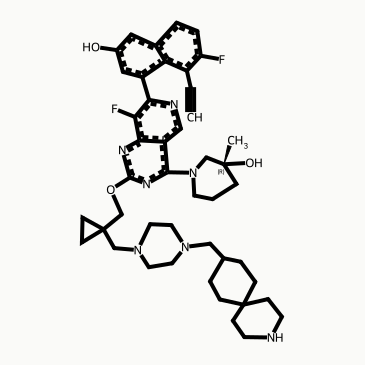 C#Cc1c(F)ccc2cc(O)cc(-c3ncc4c(N5CCC[C@@](C)(O)C5)nc(OCC5(CN6CCN(CC7CCC8(CCNCC8)CC7)CC6)CC5)nc4c3F)c12